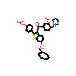 COc1cc(C(=O)c2c(-c3ccc(O)cc3)sc3cc(OCc4ccccc4)ccc23)ccc1CN1CCCC1